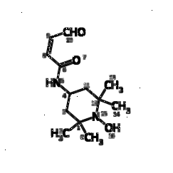 CC1(C)CC(NC(=O)/C=C\C=O)CC(C)(C)N1O